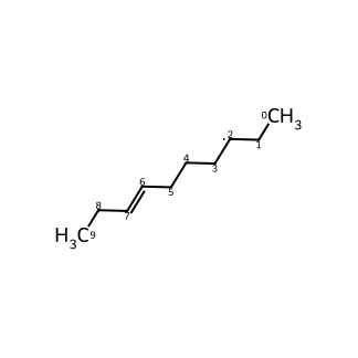 CC[CH]CCCC=CCC